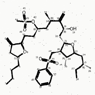 C=C1C[C@H](CCCC)OC1CC[C@H](C[C@@H](C)C(=C)[C@H](O)C[C@@H]1OC(C[C@H](C)CC)[C@H](C)[C@H]1CS(=O)(=O)c1ccccc1)OS(C)(=O)=O